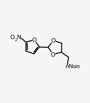 CCCCCCCCCCC1COC(c2ccc([N+](=O)[O-])o2)O1